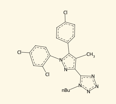 CCCCn1nnnc1-c1nn(-c2ccc(Cl)cc2Cl)c(-c2ccc(Cl)cc2)c1C